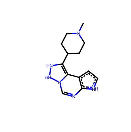 CN1CCC(C2=C3c4cc[nH]c4N=CN3NN2)CC1